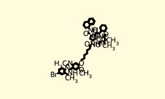 COc1cc2c(NC(C)c3cccc(Br)c3)nc(C)nc2cc1OCCCCCCC(=O)N[C@H]1C[C@@H](C(=O)N[C@@H]2CCCc3ccccc32)N(C(=O)C(NC(=O)C(C)N(C)C(=O)O)C2CCCCC2)C1